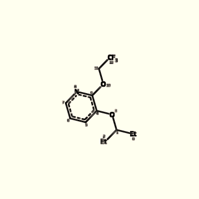 CCC(CC)Oc1cccnc1OCC(F)(F)F